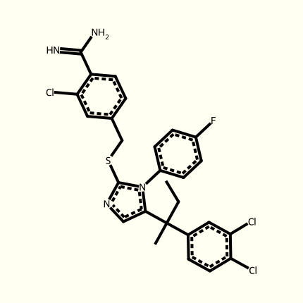 CCC(C)(c1ccc(Cl)c(Cl)c1)c1cnc(SCc2ccc(C(=N)N)c(Cl)c2)n1-c1ccc(F)cc1